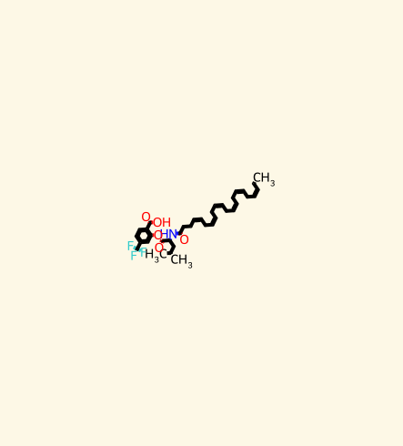 CC/C=C\C/C=C\C/C=C\C/C=C\C/C=C\C/C=C\CCC(=O)NC(CC(C)C)C(=O)Oc1cc(C(F)(F)F)ccc1C(=O)O